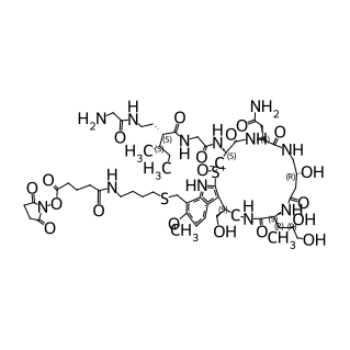 CC[C@H](C)[C@H](CCNC(=O)CN)C(=O)NCC(=O)N[C@@H]1C[S+]([O-])c2[nH]c3c(CSCCCCNC(=O)CCCC(=O)ON4C(=O)CCC4=O)c(OC)ccc3c2[C@H](CO)CNC(=O)[C@H]([C@@H](C)[C@@H](O)CO)NC(=O)C[C@@H](O)CNC(=O)[C@H](CC(N)=O)NC1=O